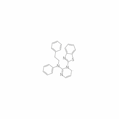 [CH]1C=CN=C(N(CCc2ccccc2)c2ccccc2)N1c1nc2ccccc2s1